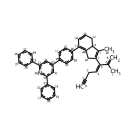 C#CC/C=C(/C(=C)C)C1=C(C)C2CC=CC(c3ccc(-c4cc(-c5ccccc5)nc(-c5ccccc5)c4)cc3)=C2C1